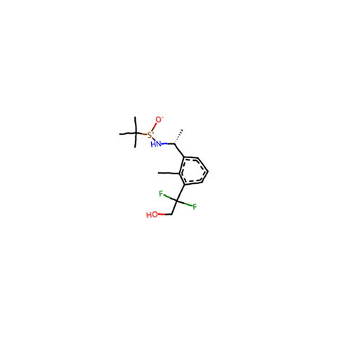 Cc1c([C@@H](C)N[S+]([O-])C(C)(C)C)cccc1C(F)(F)CO